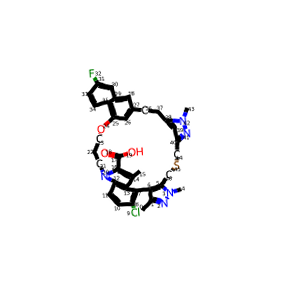 Cc1nn(C)c2c1-c1c(Cl)ccc3c1c(C)c(C(=O)O)n3CCCOc1cc(cc3cc(F)ccc13)CCc1cc(nn1C)CSC2